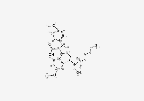 CCCCCS(=O)(=O)N(CC)CCN1CC(c2ccc3c(c2)OCO3)C(C(=O)O)C1c1ccc(OC)cc1